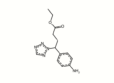 CCOC(=O)CCC(c1ccc(N)cc1)n1ncnn1